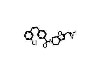 CN(C)Cc1cc2c(o1)CN(C(=O)c1ccc(/C=C\c3cccc(Cl)c3)cc1)CC2